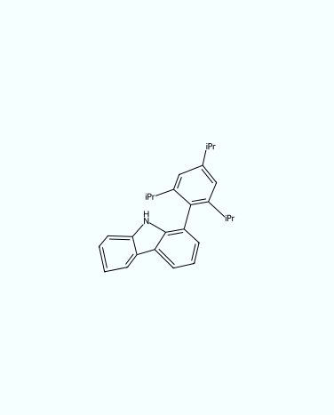 CC(C)c1cc(C(C)C)c(-c2cccc3c2[nH]c2ccccc23)c(C(C)C)c1